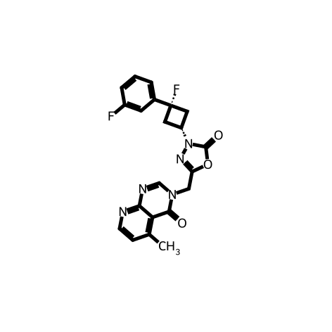 Cc1ccnc2ncn(Cc3nn([C@H]4C[C@](F)(c5cccc(F)c5)C4)c(=O)o3)c(=O)c12